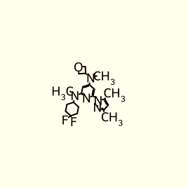 Cc1cc(C)n(-c2cc(N(C)C3COC3)cc(N(C)C3CCC(F)(F)CC3)n2)n1